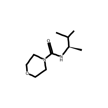 CC(C)[C@@H](C)NC(=O)N1CCOCC1